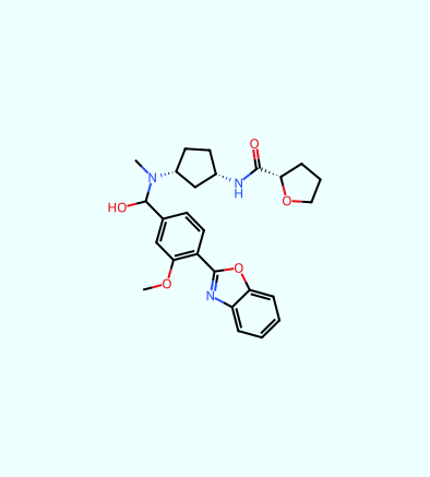 COc1cc(C(O)N(C)[C@@H]2CC[C@H](NC(=O)[C@@H]3CCCO3)C2)ccc1-c1nc2ccccc2o1